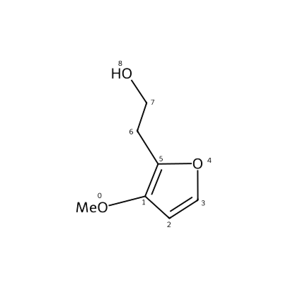 COc1ccoc1CCO